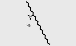 Br.CCCCCCCCCCCCCC(CCCCCC)N(C)C